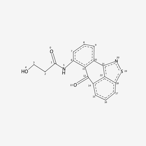 O=C(CCO)Nc1cccc2c1C(=O)c1cccc3snc-2c13